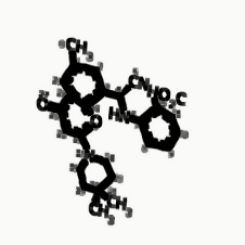 Cc1cc([C@@H](C#N)Nc2ccccc2C(=O)O)c2oc(N3CCC(C)(C)CC3)cc(=O)c2c1